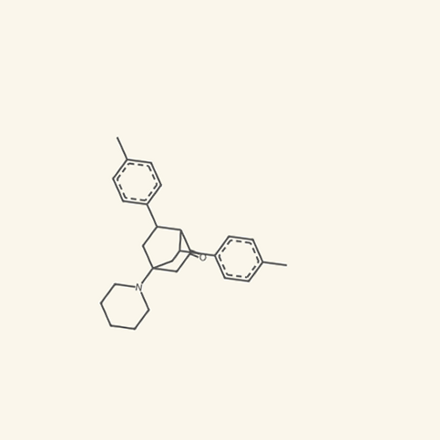 Cc1ccc(C2CC3(N4CCCCC4)CC(=O)C2C(c2ccc(C)cc2)C3)cc1